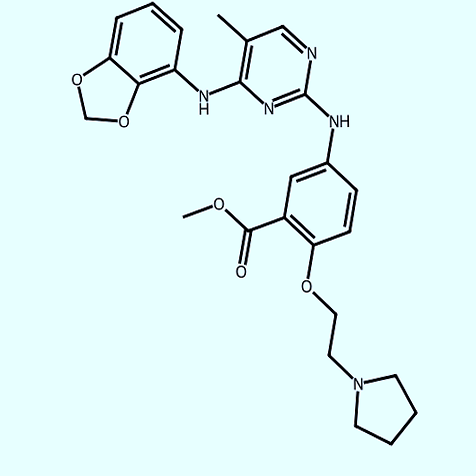 COC(=O)c1cc(Nc2ncc(C)c(Nc3cccc4c3OCO4)n2)ccc1OCCN1CCCC1